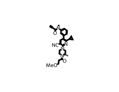 C#CC(=O)N(C)c1cccc(-c2cc(C#N)c(N3CCN(C(=O)CCOC)[C@H](C)C3)nc2C2CC2)c1